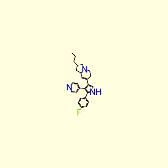 CCCC1CC2C=C(c3c[nH]c(-c4ccc(F)cc4)c3-c3ccncc3)CCN2C1